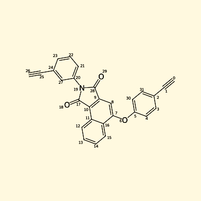 C#Cc1ccc(Oc2cc3c(c4ccccc24)C(=O)N(c2cccc(C#C)c2)C3=O)cc1